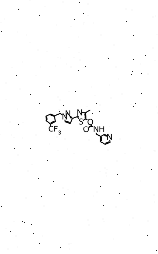 Cc1nc(-c2ccn(Cc3cccc(C(F)(F)F)c3)n2)sc1OC(=O)NCc1cccnc1